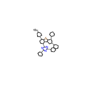 CC(C)(C)c1ccc(-c2ccc(-c3nc(-c4ccccc4)nc(-c4ccccc4)n3)c3c2sc2c(-c4ccccc4)cc(-c4ccccc4)cc23)cc1